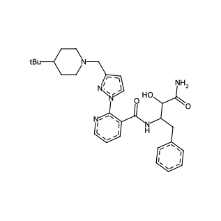 CC(C)(C)C1CCN(Cc2ccn(-c3ncccc3C(=O)NC(Cc3ccccc3)C(O)C(N)=O)n2)CC1